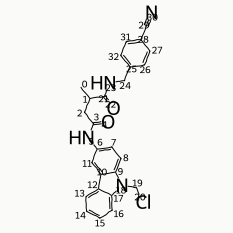 CC(CC(=O)Nc1ccc2c(c1)c1ccccc1n2CCl)C(=O)NCc1ccc(C#N)cc1